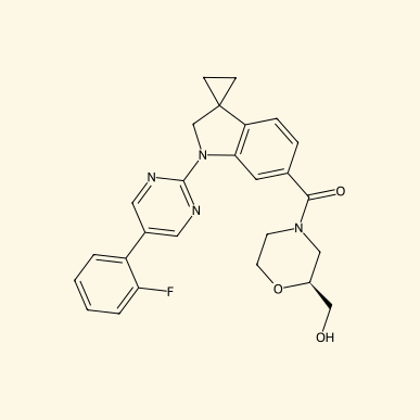 O=C(c1ccc2c(c1)N(c1ncc(-c3ccccc3F)cn1)CC21CC1)N1CCO[C@H](CO)C1